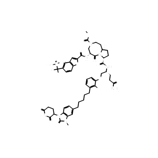 COC(=O)N1CC[C@H]2CC[C@@H](C(=O)N[C@@H](CCC(N)=O)COc3cccc(CCCCCc4ccc5c(c4)n(C)c(=O)n5C4CCC(=O)NC4=O)c3Cl)N2C(=O)[C@@H](NC(=O)c2cc3cc(C(F)(F)P(=O)(O)O)ccc3s2)C1